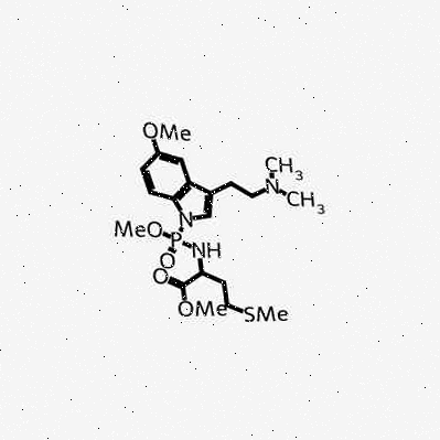 COC(=O)C(CCSC)NP(=O)(OC)n1cc(CCN(C)C)c2cc(OC)ccc21